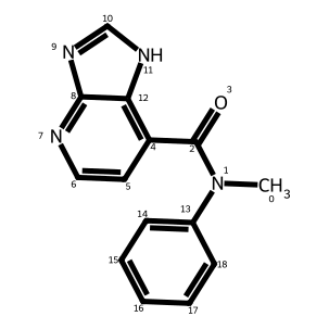 CN(C(=O)c1ccnc2nc[nH]c12)c1ccccc1